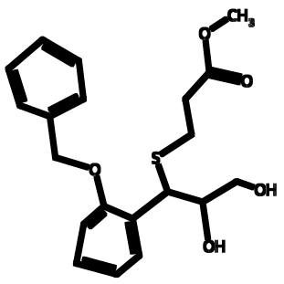 COC(=O)CCSC(c1ccccc1OCc1ccccc1)C(O)CO